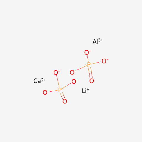 O=P([O-])([O-])[O-].O=P([O-])([O-])[O-].[Al+3].[Ca+2].[Li+]